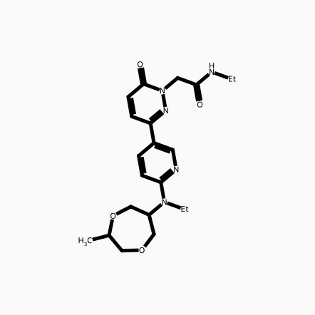 CCNC(=O)Cn1nc(-c2ccc(N(CC)C3COCC(C)OC3)nc2)ccc1=O